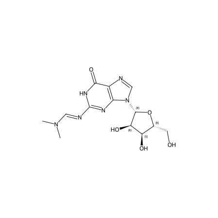 CN(C)C=Nc1nc2c(ncn2[C@@H]2O[C@H](CO)[C@@H](O)[C@H]2O)c(=O)[nH]1